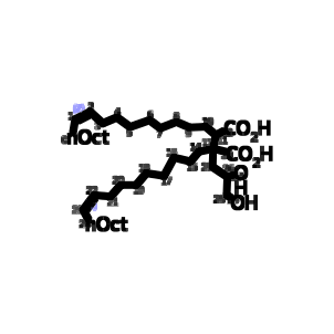 CCCCCCCC/C=C\CCCCCCCCC(C(=O)O)C(CCCCCCCC/C=C\CCCCCCCC)(CC(O)CO)C(=O)O